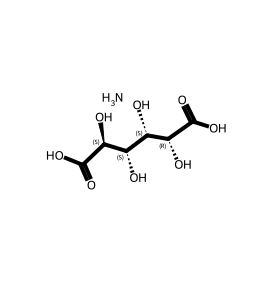 N.O=C(O)[C@@H](O)[C@@H](O)[C@H](O)[C@@H](O)C(=O)O